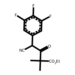 CCOC(=O)C(C)(C)C(=O)C(C#N)c1cc(F)c(F)c(F)c1